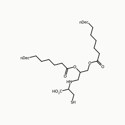 CCCCCCCCCCCCCCCC(=O)OCC(CNC(CS)C(=O)O)OC(=O)CCCCCCCCCCCCCCC